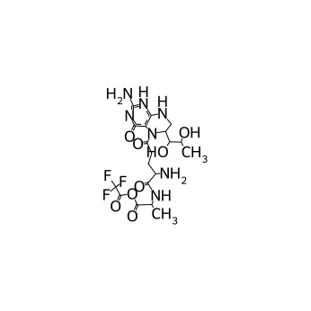 CC(NC(=O)C(N)CCC(=O)N1c2c([nH]c(N)nc2=O)NCC1C(O)C(C)O)C(=O)OC(=O)C(F)(F)F